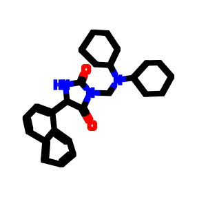 O=C1NC(c2cccc3ccccc23)C(=O)N1CN(C1CCCCC1)C1CCCCC1